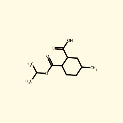 CC1CCC(C(=O)OC(C)C)C(C(=O)O)C1